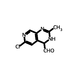 CC1=Nc2cnc(Cl)cc2C(C=O)N1